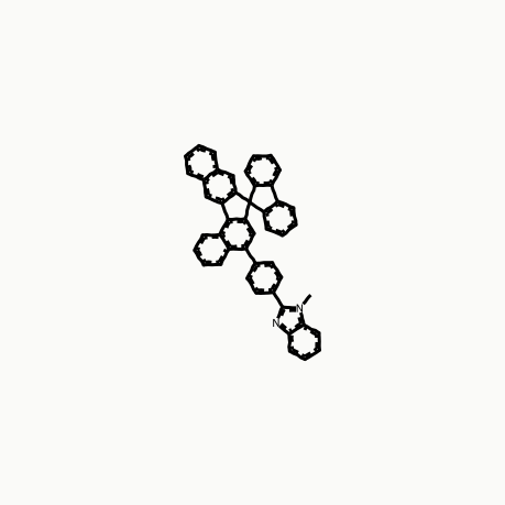 Cn1c(-c2ccc(-c3cc4c(c5ccccc35)-c3cc5ccccc5cc3C43c4ccccc4-c4ccccc43)cc2)nc2ccccc21